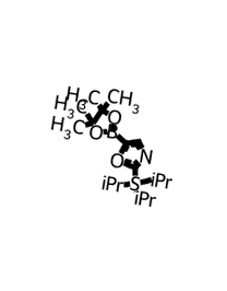 CC(C)S(c1ncc(B2OC(C)(C)C(C)(C)O2)o1)(C(C)C)C(C)C